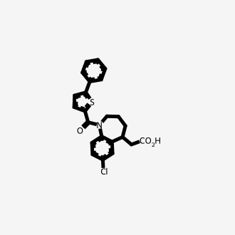 O=C(O)CC1CCCN(C(=O)c2ccc(-c3ccccc3)s2)c2ccc(Cl)cc21